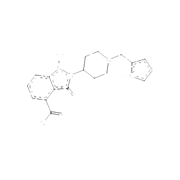 Cn1c2cccc(C(N)=O)c2c(=O)n1C1CCN(Cc2ccc[nH]2)CC1